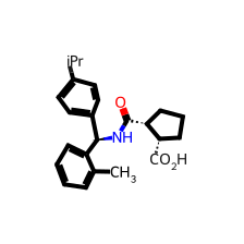 Cc1ccccc1[C@H](NC(=O)[C@@H]1CCC[C@@H]1C(=O)O)c1ccc(C(C)C)cc1